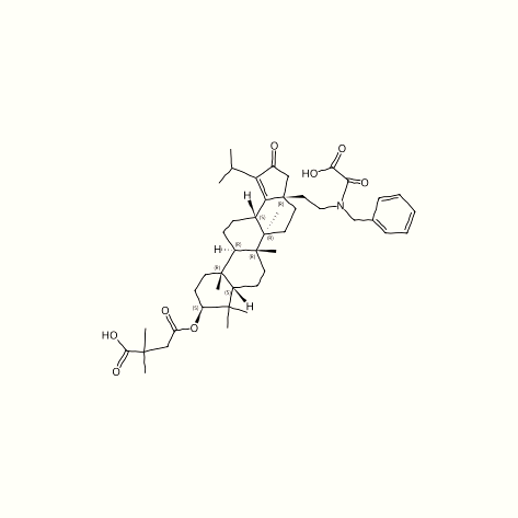 CC(C)C1=C2[C@H]3CC[C@@H]4[C@@]5(C)CC[C@H](OC(=O)CC(C)(C)C(=O)O)C(C)(C)[C@H]5CC[C@@]4(C)[C@]3(C)CC[C@@]2(CCN(Cc2ccccc2)C(=O)C(=O)O)CC1=O